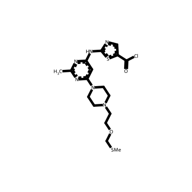 CSCOCCN1CCN(c2cc(Nc3ncc(C(=O)Cl)s3)nc(C)n2)CC1